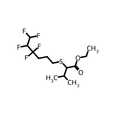 CCOC(=O)C(SCCCC(F)(F)C(F)C(F)F)C(C)C